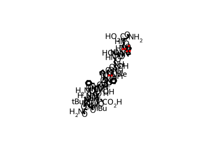 CC[C@H](C)[C@H](NC(=O)[C@H](CCC(N)=O)NC(=O)[C@@H](N(C)C(=O)[C@@H](N)C(C)C)C(C)(C)C)C(=O)N[C@@H](CCC(=O)O)C(=O)N[C@@H](CC(N)=O)C(=O)N[C@@H](Cc1ccccc1)C(=O)N[C@@H](CO)C(=O)N[C@@H](Cc1ccccc1)C(=O)N[C@@H](CCSC)C(=O)N1CCC[C@H]1C(=O)N[C@@H](CC(C)C)C(=O)N[C@@H](CO)C(=O)NCC(=O)N[C@H](C(=O)N[C@@H](Cc1ccccc1)C(=O)N1CCC[C@H]1C(=O)N[C@@H](C)C(=O)N[C@@H](CC(N)=O)C(=O)O)[C@@H](C)O